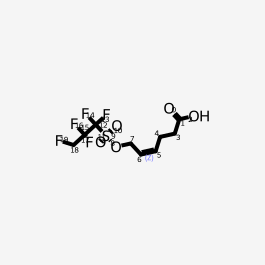 O=C(O)CC/C=C\COS(=O)(=O)C(F)(F)C(F)(F)CF